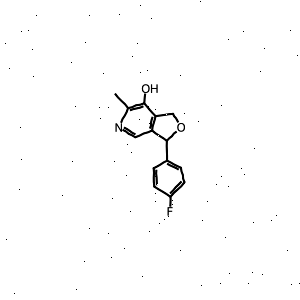 Cc1ncc2c(c1O)COC2c1ccc(F)cc1